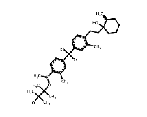 C=C1CCCCC1(O)CCc1ccc(C(CC)(CC)c2ccc(B(C)OC(C)(C)C(C)(C)O)c(C)c2)cc1C